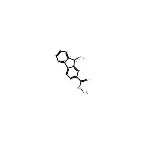 COC(=O)c1ccc2c(c1)C(C)c1ccccc1-2